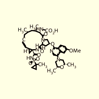 COc1ccc2c(O[C@@H]3C[C@H]4C(=O)N[C@]5(C(=O)NS(=O)(=O)C6(C)CC6)C[C@H]5C=CCC[C@@H](C)C[C@@H](C)[C@H](NC(=O)O)C(=O)N4C3)ncc(N3C[C@@H](C)O[C@@H](C)C3)c2c1